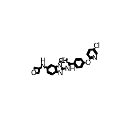 CCC(Nc1nc2ccc(NC3COC3)cc2n1C)c1ccc(Oc2ccc(Cl)cn2)cc1